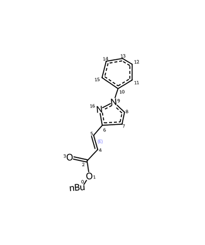 CCCCOC(=O)/C=C/c1ccn(-c2ccccc2)n1